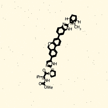 COC(=O)N[C@H](C(=O)N1CCC[C@H]1c1ncc(-c2ccc3c(c2)COc2cc(-c4ccc5nc([C@@H]6[C@H]7CC[C@H](C7)N6C)[nH]c5c4)ccc2-3)[nH]1)C(C)C